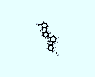 CCc1cccc2c1oc1ccc(-c3cccc4c3oc3ccc(C)cc34)cc12